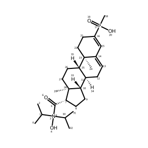 CC(C)[N+](O)(C(=O)[C@H]1CC[C@H]2[C@@H]3CC=C4C=C(P(C)(=O)O)CC[C@]4(C)[C@H]3CC[C@]12C)C(C)C